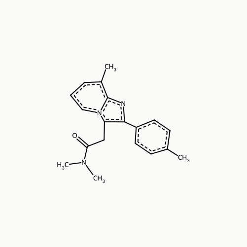 Cc1ccc(-c2nc3c(C)cccn3c2CC(=O)N(C)C)cc1